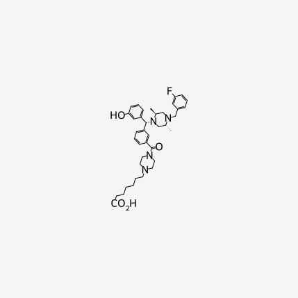 C[C@@H]1CN([C@@H](c2cccc(O)c2)c2cccc(C(=O)N3CCN(CCCCCCC(=O)O)CC3)c2)[C@@H](C)CN1Cc1cccc(F)c1